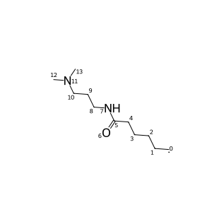 [CH2]CCCCC(=O)NCCCN(C)C